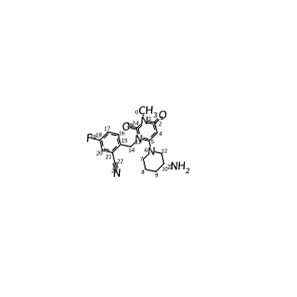 Cn1c(=O)cc(N2CCC[C@@H](N)C2)n(Cc2ccc(F)cc2C#N)c1=O